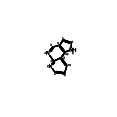 c1cnc2ncc3cc[nH]c3c2c1